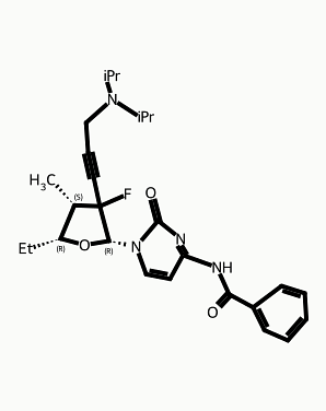 CC[C@H]1O[C@@H](n2ccc(NC(=O)c3ccccc3)nc2=O)C(F)(C#CCN(C(C)C)C(C)C)[C@H]1C